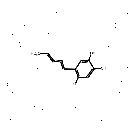 O=C(O)/C=C/C=C/c1cc(O)c(O)cc1Cl